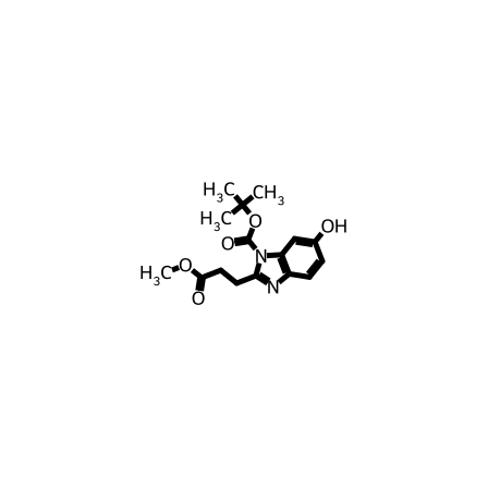 COC(=O)CCc1nc2ccc(O)cc2n1C(=O)OC(C)(C)C